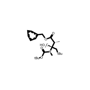 C[C@@H](C(=O)OCc1ccccc1)[C@@](CC(C)(C)C)(C(=O)O)N(C)C(=O)OC(C)(C)C